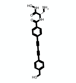 NC[C@H](NC(=O)c1ccc(C#CC#Cc2ccc(CO)cc2)cc1)C(=O)NO